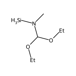 CCOC(OCC)N(C)[SiH3]